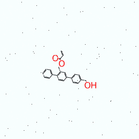 C=CC(=O)OCc1cc(-c2ccc(CO)cc2)ccc1-c1ccccc1